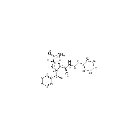 C[C@@H](c1ccccc1)N1NC(C)(C(N)=O)C=C1C(=O)NCCC1CCCCO1